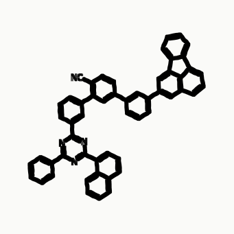 N#Cc1ccc(-c2cccc(-c3cc4c5c(cccc5c3)-c3ccccc3-4)c2)cc1-c1cccc(-c2nc(-c3ccccc3)nc(-c3cccc4ccccc34)n2)c1